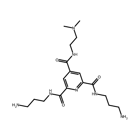 CN(C)CCNC(=O)c1cc(C(=O)NCCCN)nc(C(=O)NCCCN)c1